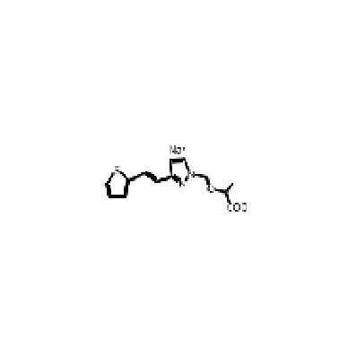 CC(OCn1ccc(/C=C/c2cccs2)n1)C(=O)[O-].[Na+]